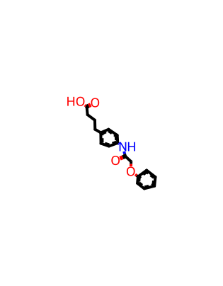 O=C(O)CCCc1ccc(NC(=O)COc2ccccc2)cc1